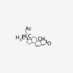 CC(=O)CCC(C)C1CCC2C3C=CC4=CC(=O)CCC4(C)C3CCC12C